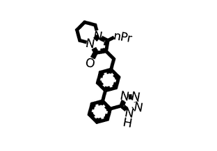 CCCc1c(Cc2ccc(-c3ccccc3-c3nnn[nH]3)cc2)c(=O)n2n1CCCC2